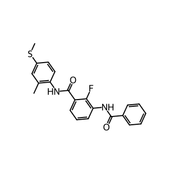 CSc1ccc(NC(=O)c2cccc(NC(=O)c3ccccc3)c2F)c(C)c1